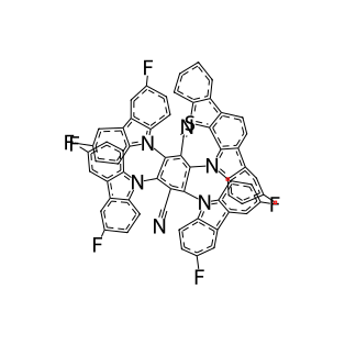 Cc1ccc2c(c1)c1ccc3c4ccccc4sc3c1n2-c1c(C#N)c(-n2c3ccc(F)cc3c3cc(F)ccc32)c(-n2c3ccc(F)cc3c3cc(F)ccc32)c(C#N)c1-n1c2ccc(F)cc2c2cc(F)ccc21